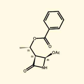 CC(=O)O[C@H]1NC(=O)[C@H]1[C@H](C)OC(=O)c1ccccc1